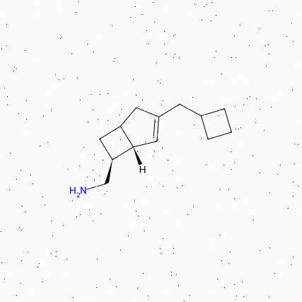 NC[C@H]1CC2CC(CC3CCC3)=C[C@@H]21